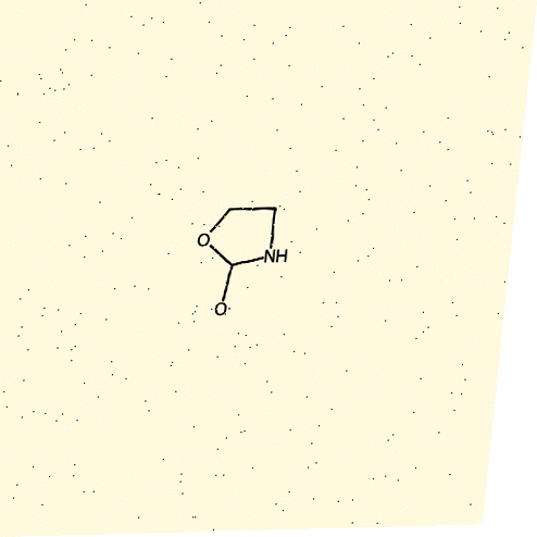 [O]C1NCCO1